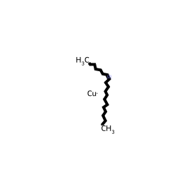 CCCCCC/C=C\CCCCCCCCCCCC.[Cu]